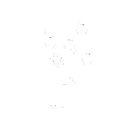 COCCOC(=O)N1CCC(c2cccc(C(Cc3ccccc3)c3ccc(-c4cc(Cl)ccc4-n4cnnn4)c[n+]3[O-])c2)CC1